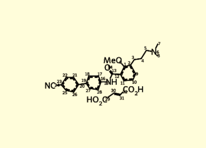 COc1c(CCCN(C)C)cccc1C(=O)Nc1ccc(-c2ccc(C#N)cc2)cc1.O=C(O)C=CC(=O)O